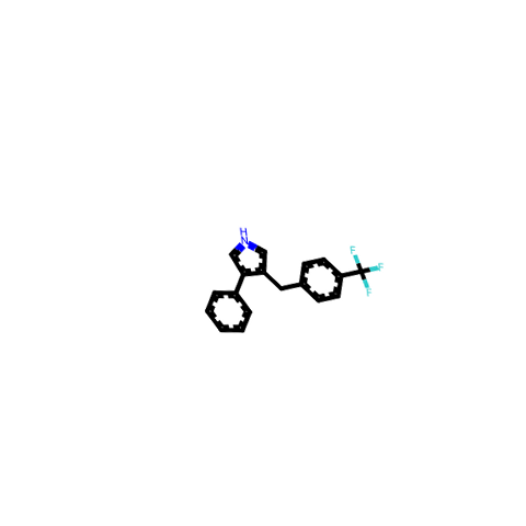 FC(F)(F)c1ccc(Cc2c[nH]cc2-c2ccccc2)cc1